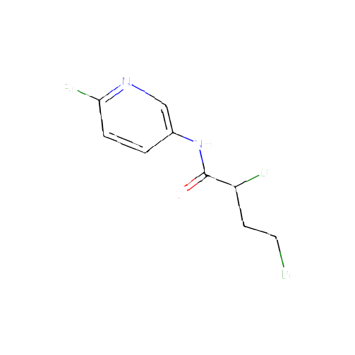 O=C(Nc1ccc(Br)nc1)C(Br)CCBr